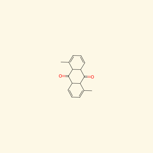 CC1=CC=CC2C(=O)C3C(C)=CC=CC3C(=O)C12